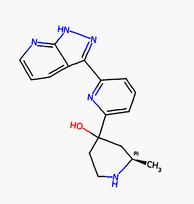 C[C@@H]1CC(O)(c2cccc(-c3n[nH]c4ncccc34)n2)CCN1